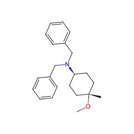 CO[C@]1(C)CC[C@@H](N(Cc2ccccc2)Cc2ccccc2)CC1